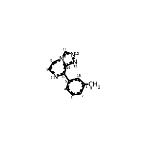 Cc1cccc(-c2nccn3cnnc23)c1